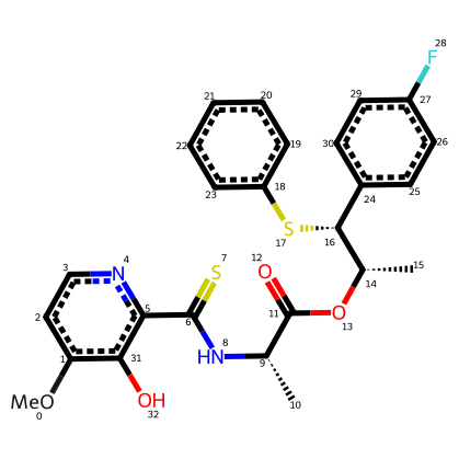 COc1ccnc(C(=S)N[C@@H](C)C(=O)O[C@@H](C)[C@H](Sc2ccccc2)c2ccc(F)cc2)c1O